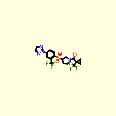 O=C(N1CCC(S(=O)(=O)c2ccc(-n3nccn3)cc2C(F)(F)F)C1)C1(C(F)(F)F)CC1